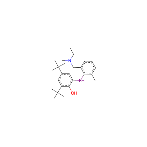 CCN(C)Cc1cccc(C)c1Pc1cc(C(C)(C)C)cc(C(C)(C)C)c1O